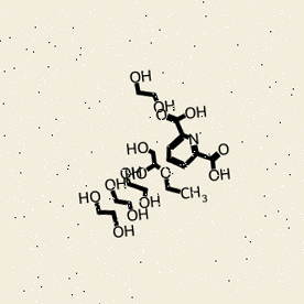 CCOC(O)CO.O=C(O)c1cccc(C(=O)O)n1.OCCO.OCCO.OCCO.OCCO